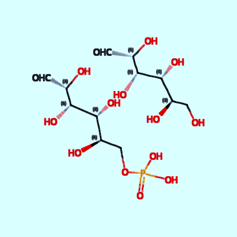 O=C[C@H](O)[C@@H](O)[C@H](O)[C@H](O)CO.O=C[C@H](O)[C@@H](O)[C@H](O)[C@H](O)COP(=O)(O)O